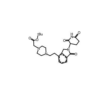 CC(C)(C)OC(=O)CN1CCN(CCc2cccc3c2CN(C2CCC(=O)NC2=O)C3=O)CC1